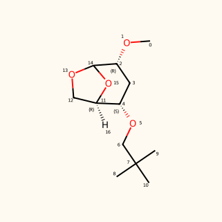 CO[C@@H]1C[C@H](OCC(C)(C)C)[C@H]2COC1O2